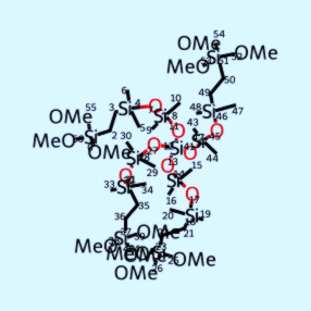 CO[Si](CC[Si](C)(C)O[Si](C)(C)O[Si](O[Si](C)(C)O[Si](C)(C)CC[Si](OC)(OC)OC)(O[Si](C)(C)O[Si](C)(C)CC[Si](OC)(OC)OC)O[Si](C)(C)O[Si](C)(C)CC[Si](OC)(OC)OC)(OC)OC